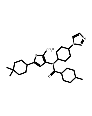 CC1CCC(C(=O)N(c2cc(C3CCC(C)(C)CC3)sc2C(=O)O)C2CCC(n3ccnn3)CC2)CC1